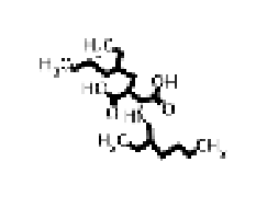 CCCCC(CC)CN[C@H](C(=O)O)C(CC(CC)CCCC)C(=O)O